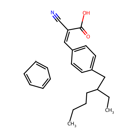 CCCCC(CC)Cc1ccc(C=C(C#N)C(=O)O)cc1.[c]1ccccc1